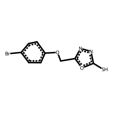 Sc1nnc(COc2ccc(Br)cc2)o1